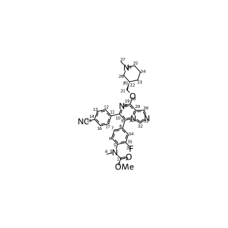 COC(=O)N(C)c1ccc(-c2c(-c3ccc(C#N)cc3)nc(OC[C@@H]3CCCN(C)C3)c3cncn23)cc1F